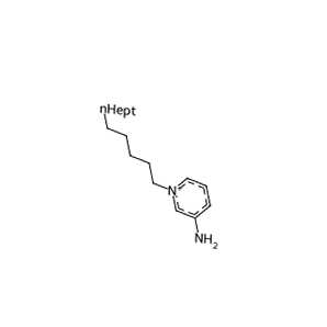 CCCCCCCCCCCC[n+]1cccc(N)c1